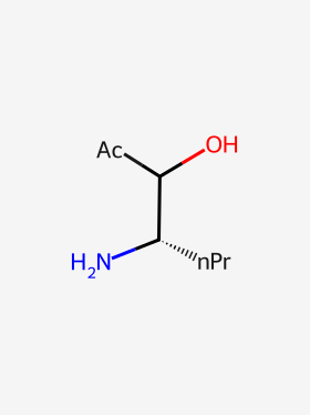 CCC[C@H](N)C(O)C(C)=O